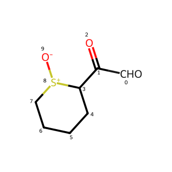 O=CC(=O)C1CCCC[S+]1[O-]